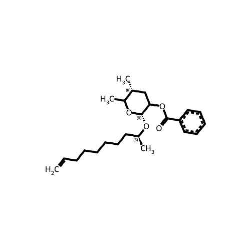 C=CCCCCCC[C@H](C)O[C@@H]1OC(C)[C@H](C)CC1OC(=O)c1ccccc1